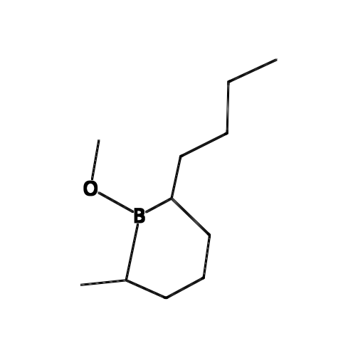 CCCCC1CCCC(C)B1OC